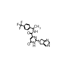 C[C@@H](NC(=O)c1cc(=O)[nH]c(N2Cc3cncnc3C2)n1)c1ccc(C(F)(F)F)cc1